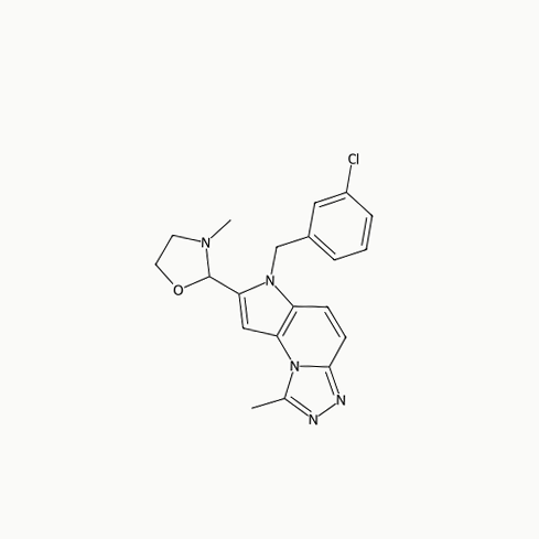 Cc1nnc2ccc3c(cc(C4OCCN4C)n3Cc3cccc(Cl)c3)n12